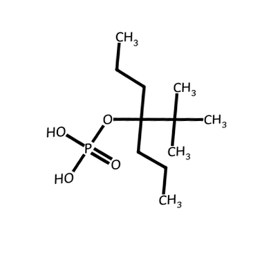 CCCC(CCC)(OP(=O)(O)O)C(C)(C)C